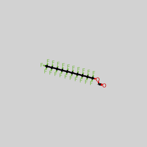 O=[C]OC(F)(F)C(F)(F)C(F)(F)C(F)(F)C(F)(F)C(F)(F)C(F)(F)C(F)(F)C(F)(F)C(F)(F)F